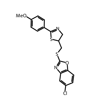 COc1ccc(C2=NCC(CSc3nc4cc(Cl)ccc4o3)S2)cc1